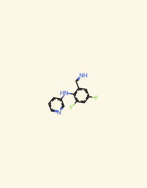 N=Cc1cc(F)cc(F)c1Nc1cccnc1